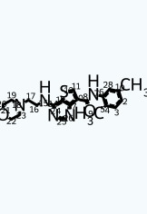 Cc1ccc(C)c(NC(=O)c2csc3c(NCCN4CCOCC4)ncnc23)c1